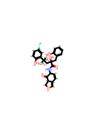 CC(C)(CC(O)(Cc1ccccc1O)C(=O)NC1C=CC2=COCC2C1=O)c1cc(F)ccc1O